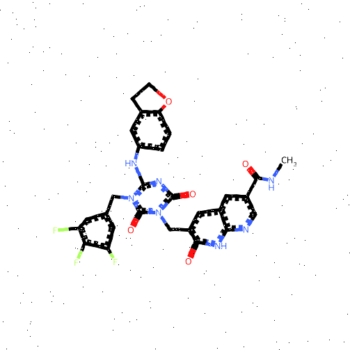 CNC(=O)c1cnc2[nH]c(=O)c(Cn3c(=O)nc(Nc4ccc5c(c4)CCO5)n(Cc4cc(F)c(F)c(F)c4)c3=O)cc2c1